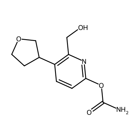 NC(=O)Oc1ccc(C2CCOC2)c(CO)n1